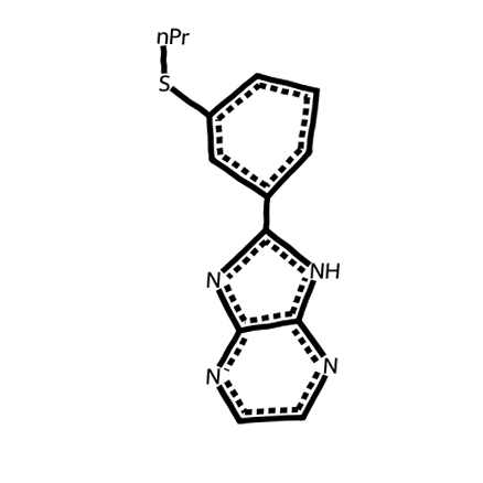 CCCSc1cccc(-c2nc3nccnc3[nH]2)c1